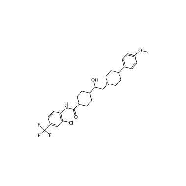 COc1ccc(C2CCN(CC(O)C3CCN(C(=O)Nc4ccc(C(F)(F)F)cc4Cl)CC3)CC2)cc1